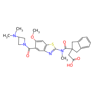 COc1cc2sc(N(C)C(=O)C3(CC(=O)O)Cc4ccccc4C3)nc2cc1C(=O)N1CC(N(C)C)C1